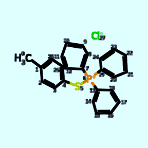 Cc1ccc(S[P+](c2ccccc2)(c2ccccc2)c2ccccc2)cc1.[Cl-]